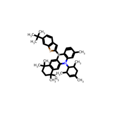 CC1=CC(C)C(N2c3cc(C)c#cc3B(c3cc4ccc(C(C)(C)C)cc4s3)c3cc4c(cc32)C(C)(C)CCC4(C)C)C(C)C1